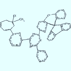 CCC1(C)CC=CC=C(c2cccc(-c3nc(-c4ccccc4)nc(-c4ccc5c(c4)C4(c6ccccc6O5)c5ccccc5-c5ccccc54)n3)c2)C1